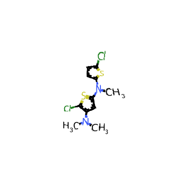 CN(C)c1cc(N(C)c2ccc(Cl)s2)sc1Cl